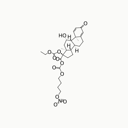 CCOC(=O)O[C@]1(C(=O)OC(=O)OCCCCO[N+](=O)[O-])CC[C@H]2[C@@H]3CCC4=CC(=O)C=C[C@]4(C)[C@H]3[C@@H](O)C[C@@]21C